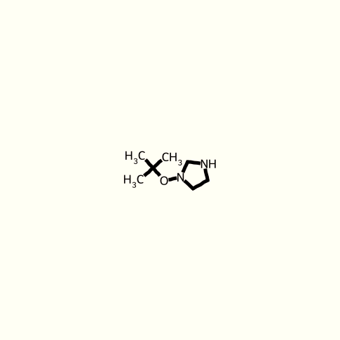 CC(C)(C)ON1CCNC1